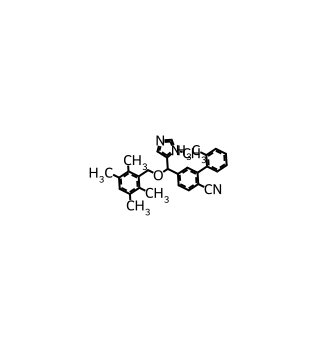 Cc1ccccc1-c1cc(C(OCc2c(C)c(C)cc(C)c2C)c2cncn2C)ccc1C#N